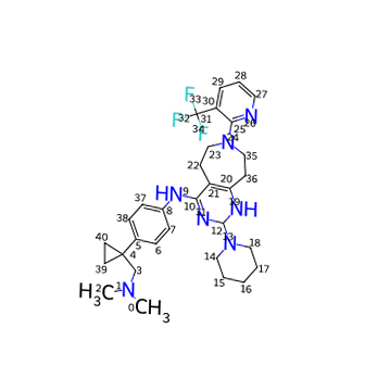 CN(C)CC1(c2ccc(NC3=NC(N4CCCCC4)NC4=C3CCN(c3ncccc3C(F)(F)F)CC4)cc2)CC1